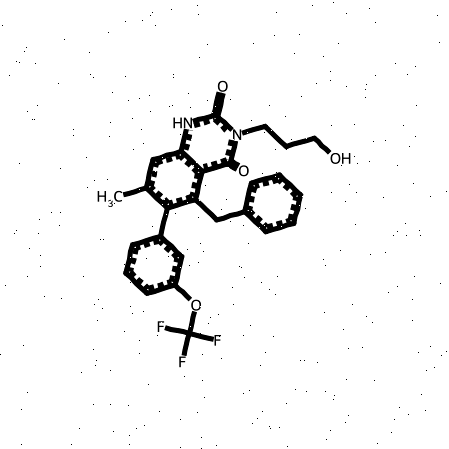 Cc1cc2[nH]c(=O)n(CCCO)c(=O)c2c(Cc2ccccc2)c1-c1cccc(OC(F)(F)F)c1